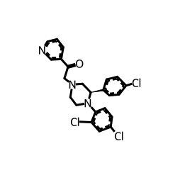 O=C(CN1CCN(c2ccc(Cl)cc2Cl)[C@H](c2ccc(Cl)cc2)C1)c1cccnc1